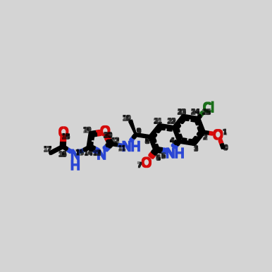 COc1cc2[nH]c(=O)c([C@H](C)Nc3nc(NC(C)=O)co3)cc2cc1Cl